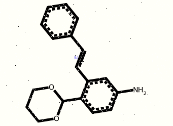 Nc1ccc(C2OCCCO2)c(/C=C/c2ccccc2)c1